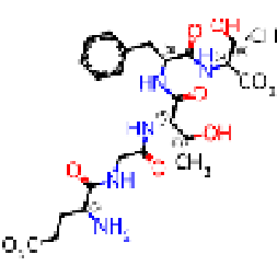 C[C@@H](O)[C@H](NC(=O)[C@H](Cc1ccccc1)NC(=O)[C@@H](NC(=O)CNC(=O)[C@@H](N)CCC(=O)O)[C@@H](C)O)C(=O)O